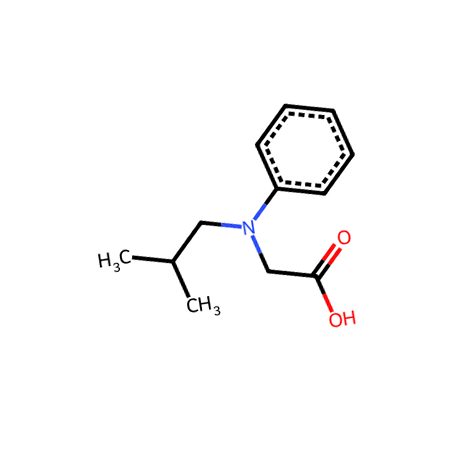 CC(C)CN(CC(=O)O)c1ccccc1